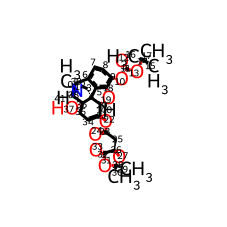 CN1CC[C@]23c4c5ccc(OC(=O)OC(C)(C)C)c4O[C@H]2C(OC(=O)C[C@H]2OC(C)(C)OC2=O)=CC[C@@]3(O)[C@H]1C5